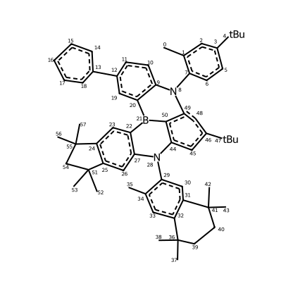 Cc1cc(C(C)(C)C)ccc1N1c2ccc(-c3ccccc3)cc2B2c3cc4c(cc3N(c3cc5c(cc3C)C(C)(C)CCC5(C)C)c3cc(C(C)(C)C)cc1c32)C(C)(C)CC4(C)C